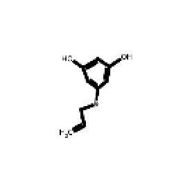 C=CC[N]c1cc(O)cc(O)c1